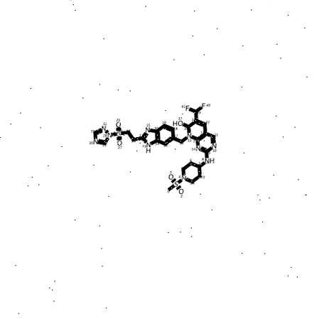 CS(=O)(=O)N1CCC(Nc2ncc3c(n2)N(Cc2ccc4nc(CCS(=O)(=O)n5cncn5)[nH]c4c2)C(O)C(C(F)F)=C3)CC1